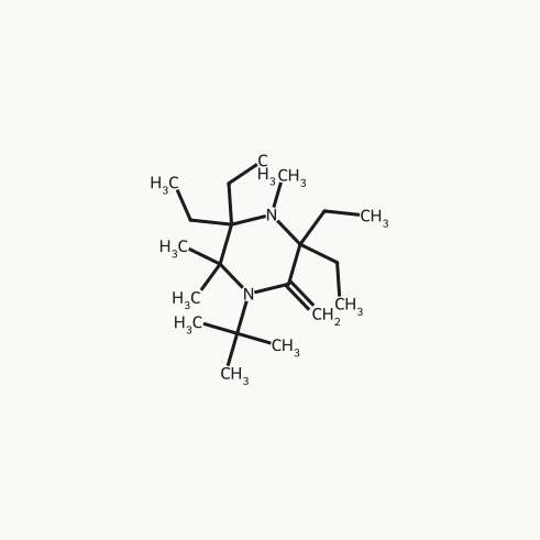 C=C1N(C(C)(C)C)C(C)(C)C(CC)(CC)N(C)C1(CC)CC